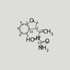 CC(C1COc2ccccc21)N(O)C(N)=O